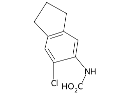 O=C(O)Nc1cc2c(cc1Cl)CCC2